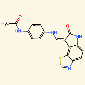 CC(=O)Nc1ccc(NC=C2C(=O)Nc3ccc4ncsc4c32)cc1